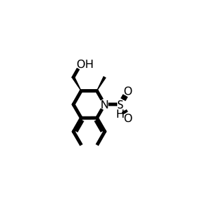 C/C=C1/C[C@@H](CO)[C@@H](C)N([SH](=O)=O)/C1=C/C